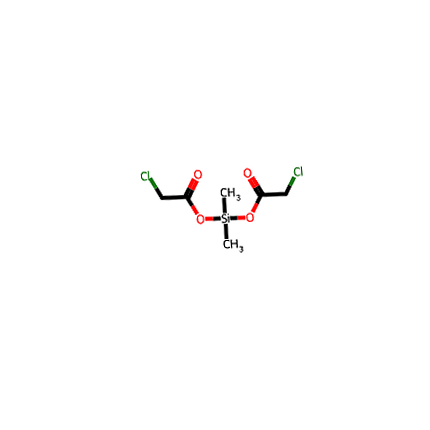 C[Si](C)(OC(=O)CCl)OC(=O)CCl